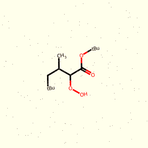 CC(CC(C)(C)C)C(OO)C(=O)OC(C)(C)C